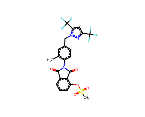 Cc1cc(Cn2nc(C(F)(F)F)cc2C(F)(F)F)ccc1N1C(=O)c2cccc(OS(C)(=O)=O)c2C1=O